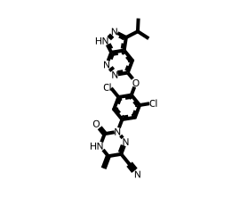 C=C1NC(=O)N(c2cc(Cl)c(Oc3cc4c(C(C)C)n[nH]c4nn3)c(Cl)c2)N=C1C#N